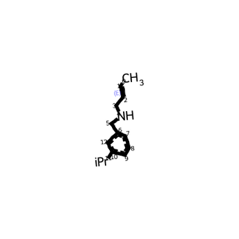 C/C=C/CNCc1cccc(C(C)C)c1